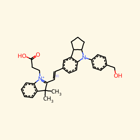 CC1(C)C(/C=C/c2ccc3c(c2)C2CCCC2N3c2ccc(CO)cc2)=[N+](CCC(=O)O)c2ccccc21